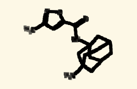 Cc1cc(C(=O)NC23CC4CC(CC(N)(C4)C2)C3)on1